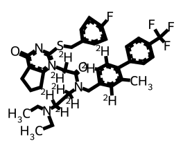 [2H]c1c([2H])c(-c2ccc(C(F)(F)F)cc2)c(C)c([2H])c1CN(C(=O)C([2H])([2H])n1c(SCc2ccc(F)cc2)nc(=O)c2c1CCC2)C([2H])([2H])C([2H])([2H])N(CC)CC